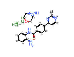 C1CN2NC2CO1.CCc1nccc(-c2ccc(C(=O)Nc3ccccc3N)cc2)n1.Cl.Cl.Cl